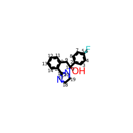 OC1(c2ccc(F)cc2)Cc2ccccc2C2=NCCN21